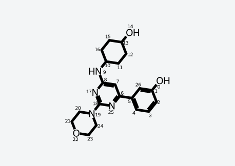 Oc1cccc(-c2cc(NC3CCC(O)CC3)nc(N3CCOCC3)n2)c1